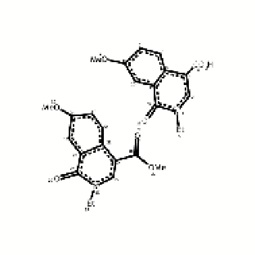 CCn1cc(C(=O)O)c2ccc(OC)cc2c1=O.CCn1cc(C(=O)OC)c2ccc(OC)cc2c1=O